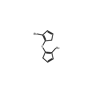 CCC(C)C1=[C]([V][C]2=C(C(C)CC)C=CC2)CC=C1